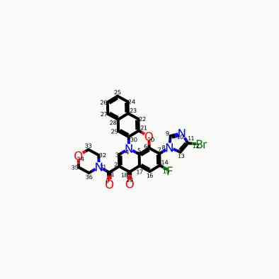 O=C(c1cn2c3c(c(-n4cnc(Br)c4)c(F)cc3c1=O)Oc1cc3ccccc3cc1-2)N1CCOCC1